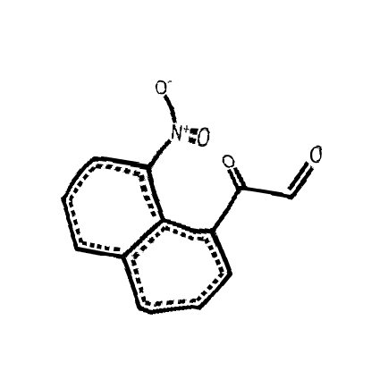 O=CC(=O)c1cccc2cccc([N+](=O)[O-])c12